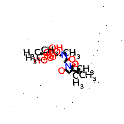 CN(COP(=O)(O)OP(=O)(O)C(C)(C)C)C(=O)CN1C(=O)CC(C(C)(C)C)C1=O